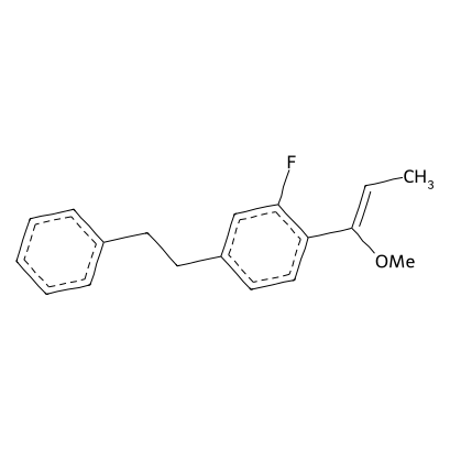 CC=C(OC)c1ccc(CCc2ccccc2)cc1F